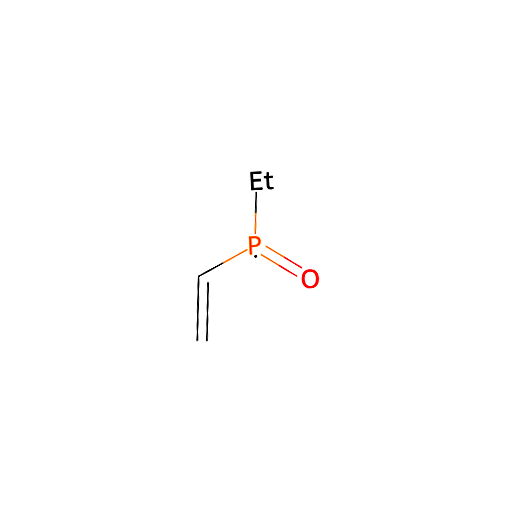 C=C[P](=O)CC